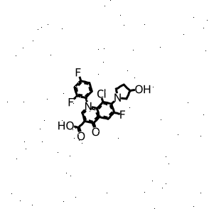 O=C(O)c1cn(-c2ccc(F)cc2F)c2c(Cl)c(N3CCC(O)C3)c(F)cc2c1=O